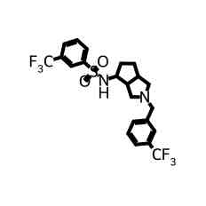 O=S(=O)(NC1CCC2CN(Cc3cccc(C(F)(F)F)c3)CC21)c1cccc(C(F)(F)F)c1